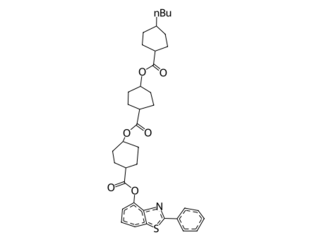 CCCCC1CCC(C(=O)OC2CCC(C(=O)OC3CCC(C(=O)Oc4cccc5sc(-c6ccccc6)nc45)CC3)CC2)CC1